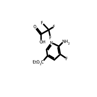 CCOC(=O)c1cnc(N)c(F)c1.O=C(O)C(F)(F)F